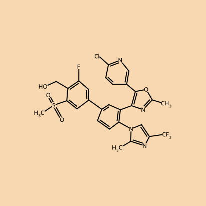 Cc1nc(-c2cc(-c3cc(F)c(CO)c(S(C)(=O)=O)c3)ccc2-n2cc(C(F)(F)F)nc2C)c(-c2ccc(Cl)nc2)o1